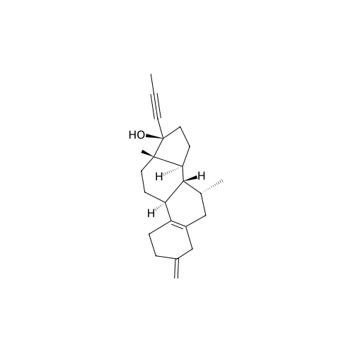 C=C1CCC2=C(C1)C[C@@H](C)[C@@H]1[C@@H]2CC[C@@]2(C)[C@H]1CC[C@@]2(O)C#CC